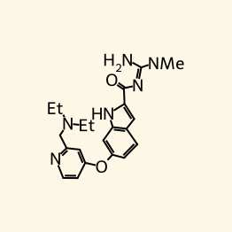 CCN(CC)Cc1cc(Oc2ccc3cc(C(=O)N=C(N)NC)[nH]c3c2)ccn1